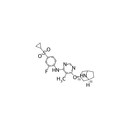 Cc1c(Nc2ccc(S(=O)(=O)C3CC3)cc2F)ncnc1O[C@H]1CC2CC[C@@H](C1)N2